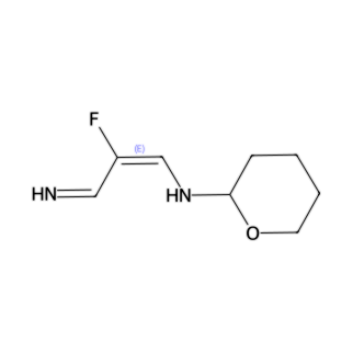 N=C/C(F)=C\NC1CCCCO1